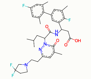 Cc1cc(-c2c(C)cc(F)cc2C)cc(C(CC(=O)O)NC(=O)C(CC(C)C)n2nc(CCN3CCC(F)(F)C3)cc(C)c2=O)c1F